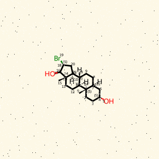 C[C@]12CC[C@H](O)C[C@@H]1CC[C@@H]1[C@@H]2CC[C@]2(C)C(O)[C@@H](Br)C[C@@H]12